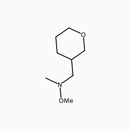 CON(C)CC1CCCOC1